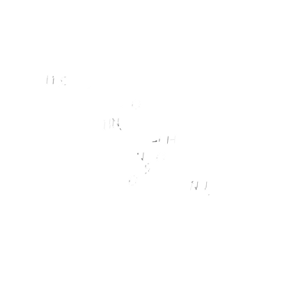 CCc1cccc(C(=O)N[C@@H]2CCN(S(=O)(=O)CCCN)[C@H](C)C2)c1